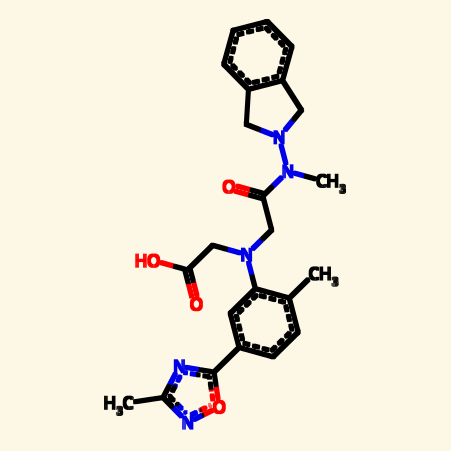 Cc1noc(-c2ccc(C)c(N(CC(=O)O)CC(=O)N(C)N3Cc4ccccc4C3)c2)n1